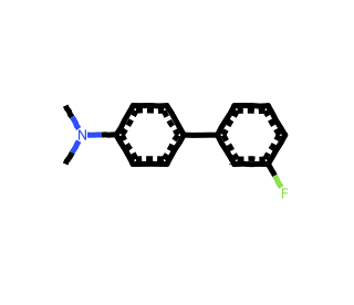 CN(C)c1ccc(-c2[c]c(F)ccc2)cc1